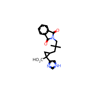 CC(C)(CC1CC1(C(=O)O)c1c[nH]cn1)CN1C(=O)c2ccccc2C1=O